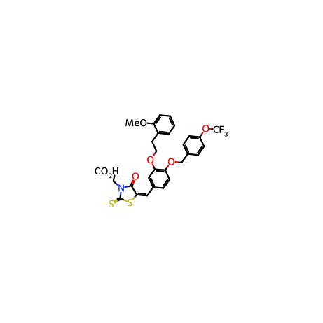 COc1ccccc1CCOc1cc(C=C2SC(=S)N(CC(=O)O)C2=O)ccc1OCc1ccc(OC(F)(F)F)cc1